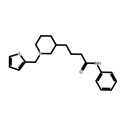 O=C(CCCC1CCCN(Cc2cccs2)C1)Nc1ccccc1